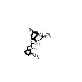 COC(=O)C[C@@H](NC(=O)C1Cc2cccc(C)c2N1)c1ccc(Br)cc1